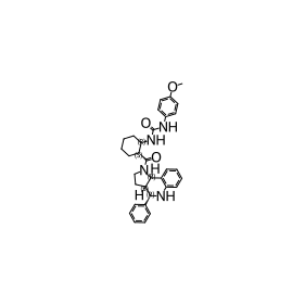 COc1ccc(NC(=O)N[C@@H]2CCCC[C@@H]2C(=O)N2CC[C@H]3[C@H](c4ccccc4)Nc4ccccc4[C@@H]32)cc1